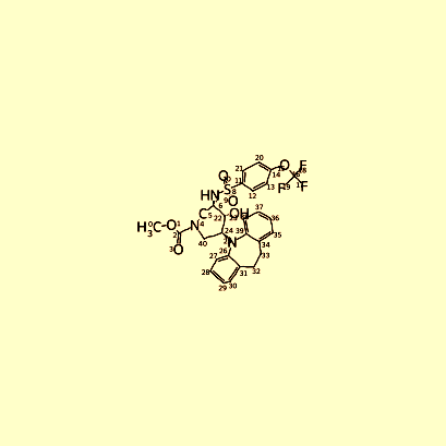 COC(=O)N1C[C@@H](NS(=O)(=O)c2ccc(OC(F)(F)F)cc2)[C@H](O)[C@@H](N2c3ccccc3CCc3ccccc32)C1